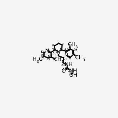 Cc1cnc(C2CCCC(C3=NCC(C)CC3C)N2CCCNC(=O)NO)c(C)c1